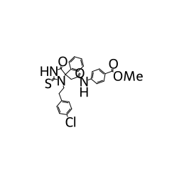 COC(=O)c1ccc(NC(=O)CC2(c3ccccc3)C(=O)NC(=S)N2CCc2ccc(Cl)cc2)cc1